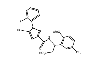 COc1ccc(C(F)(F)F)cc1C(CC(=O)O)NC(=O)c1cc(O)n(-c2ccccc2F)n1